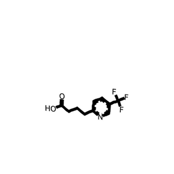 O=C(O)CCCc1ccc(C(F)(F)F)cn1